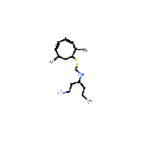 CCCC(CCN)NCSC1CC(C)/C=C\C=C/C1C